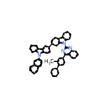 Cc1cc(-c2nc(-n3c4ccccc4c4ccc(-c5ccc6c(c5)c5ccccc5n6-c5ccc6ccccc6c5)cc43)nc3ccccc23)ccc1-c1ccccc1